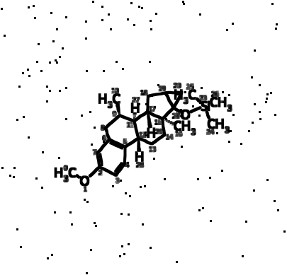 COc1ccc2c(c1)C[C@@H](C)[C@@H]1[C@@H]2CC[C@@]2(C)[C@H]1CC1CC12O[Si](C)(C)C